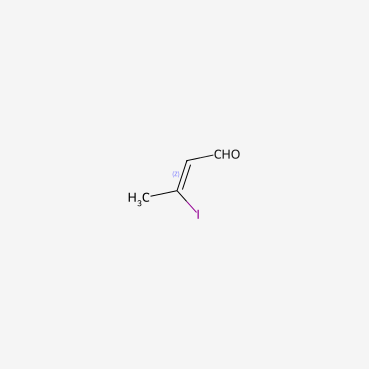 C/C(I)=C/C=O